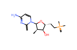 C=C1N=C(N)C=CN1C1O[C@H](CCP(=C)(C)C)[C@@H](O)[C@H]1C